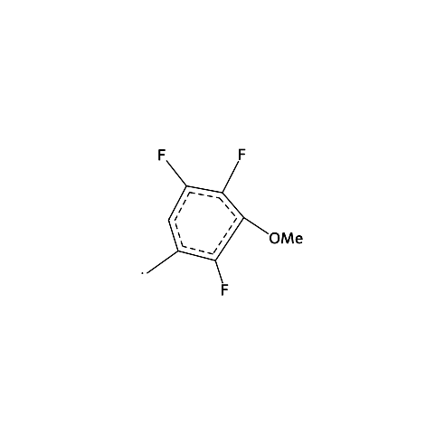 [CH2]c1cc(F)c(F)c(OC)c1F